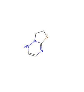 C1=CNN2CCSC2=N1